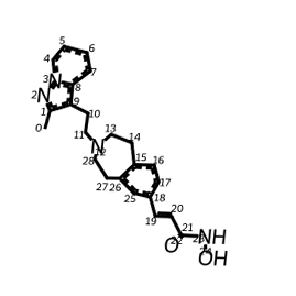 Cc1nn2ccccc2c1CCN1CCc2ccc(/C=C/C(=O)NO)cc2CC1